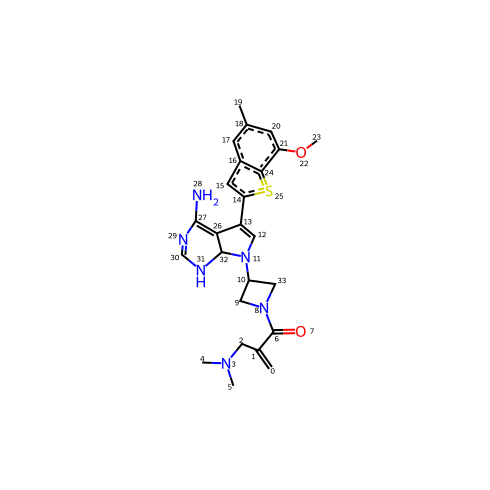 C=C(CN(C)C)C(=O)N1CC(N2C=C(c3cc4cc(C)cc(OC)c4s3)C3=C(N)N=CNC32)C1